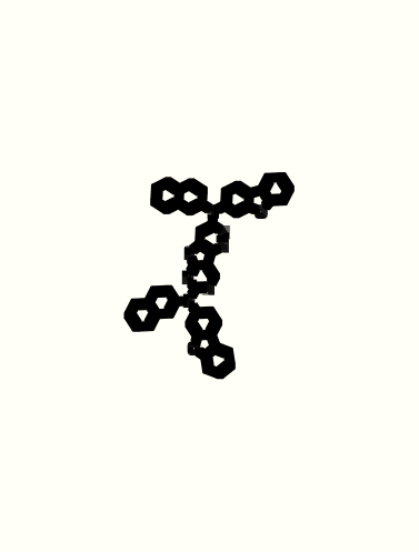 c1ccc2cc(N(c3ccc4c(c3)oc3ccccc34)c3cc4sc5nc(N(c6ccc7ccccc7c6)c6ccc7c(c6)oc6ccccc67)ncc5c4nn3)ccc2c1